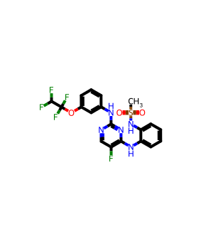 CS(=O)(=O)Nc1ccccc1Nc1nc(Nc2cccc(OC(F)(F)C(F)F)c2)ncc1F